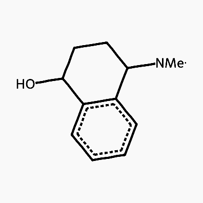 C[N]C1CCC(O)c2ccccc21